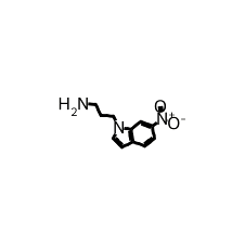 NCCCn1ccc2ccc([N+](=O)[O-])cc21